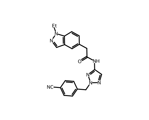 CCn1ncc2cc(CC(=O)Nc3cnn(Cc4ccc(C#N)cc4)n3)ccc21